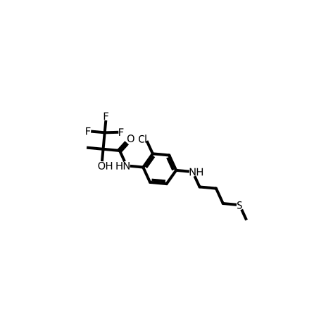 CSCCCNc1ccc(NC(=O)C(C)(O)C(F)(F)F)c(Cl)c1